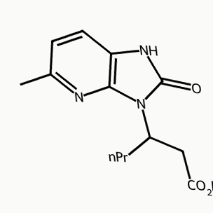 CCCC(CC(=O)OCC)n1c(=O)[nH]c2ccc(C)nc21